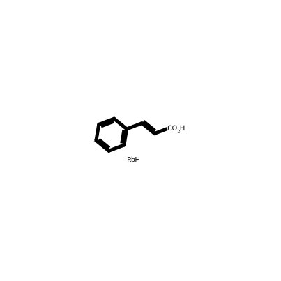 O=C(O)/C=C/c1ccccc1.[RbH]